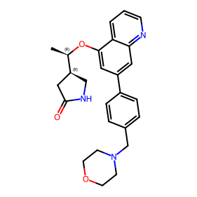 C[C@@H](Oc1cc(-c2ccc(CN3CCOCC3)cc2)cc2ncccc12)[C@H]1CNC(=O)C1